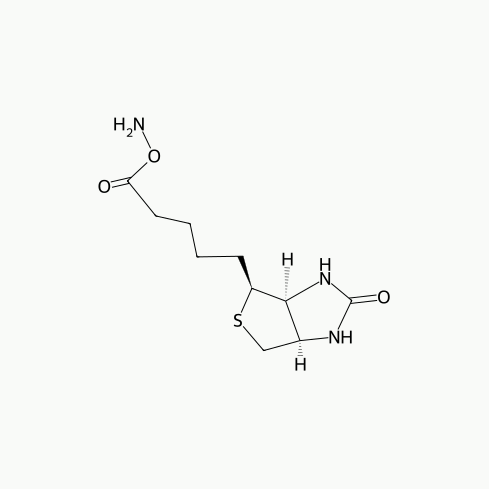 NOC(=O)CCCC[C@@H]1SC[C@@H]2NC(=O)N[C@@H]21